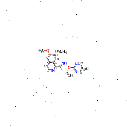 COc1cc2ncnc(C(=N)CC(C)Oc3ncc(Cl)cn3)c2cc1OC